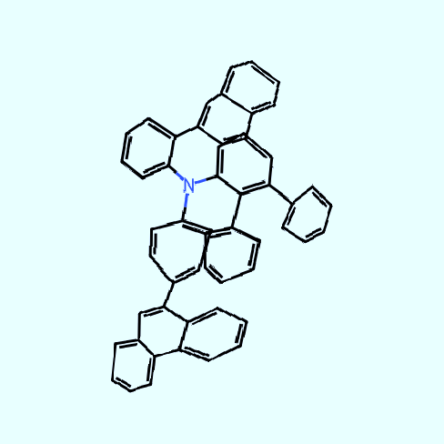 c1ccc(-c2cccc(N(c3ccc(-c4cc5ccccc5c5ccccc45)cc3)c3ccccc3-c3ccc4ccccc4c3)c2-c2ccccc2)cc1